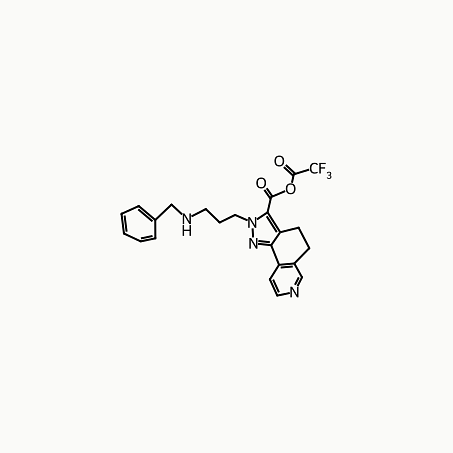 O=C(OC(=O)C(F)(F)F)c1c2c(nn1CCCNCc1ccccc1)-c1ccncc1CC2